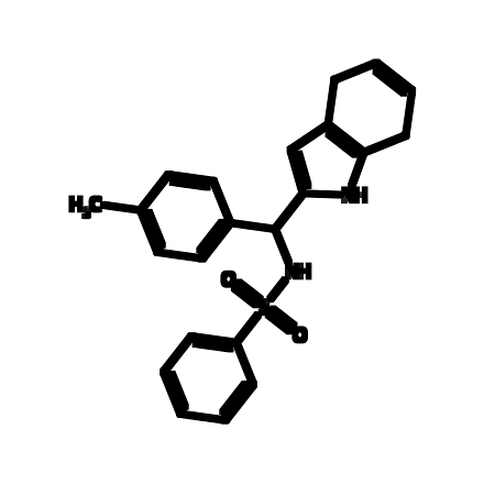 Cc1ccc(C(NS(=O)(=O)c2ccccc2)c2cc3c([nH]2)CC=CC3)cc1